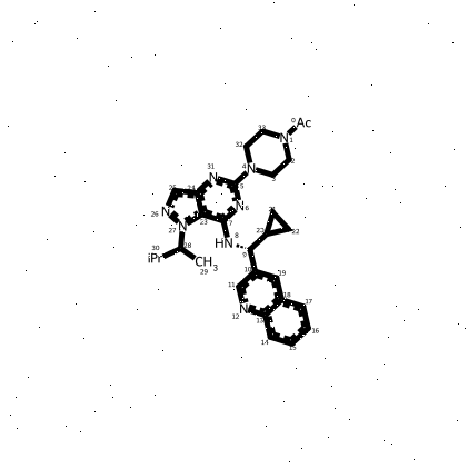 CC(=O)N1CCN(c2nc(N[C@@H](c3cnc4ccccc4c3)C3CC3)c3c(cnn3C(C)C(C)C)n2)CC1